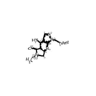 CCCCCn1ncc2c(N)c3c(nc21)CN(C)C3=O